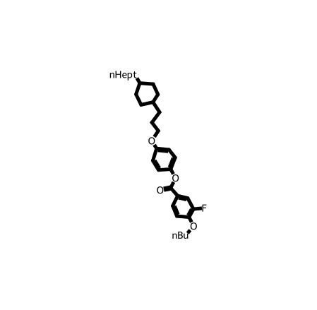 CCCCCCCC1CCC(CCCOc2ccc(OC(=O)c3ccc(OCCCC)c(F)c3)cc2)CC1